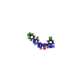 Cc1cc(-n2cc(C(=O)Nc3c[nH]c4ccc(Cl)cc34)cn2)cnc1C1CCC(F)(F)CC1